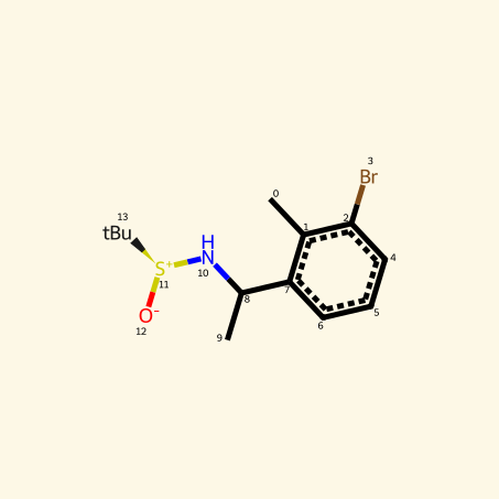 Cc1c(Br)cccc1C(C)N[S@@+]([O-])C(C)(C)C